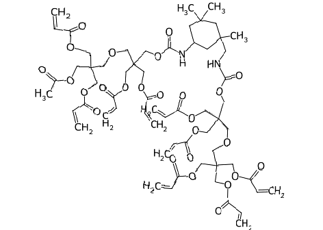 C=CC(=O)OCC(COCC(COC(=O)C=C)(COC(=O)C=C)COC(=O)NC1CC(C)(C)CC(C)(CNC(=O)OCC(COCC(COC(=O)C=C)(COC(=O)C=C)COC(=O)C=C)(COC(=O)C=C)COC(=O)C=C)C1)(COC(C)=O)COC(=O)C=C